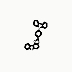 c1ccc2c(c1)sc1ccc3nc(-c4ccc(-n5c6ccccc6c6ccccc65)cc4)oc3c12